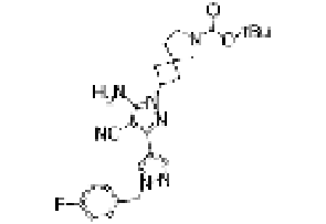 CC(C)(C)OC(=O)N1CC[C@]2(C1)C[C@H](n1nc(-c3cnn(Cc4ccc(F)cc4)c3)c(C#N)c1N)C2